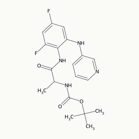 CC(NC(=O)OC(C)(C)C)C(=O)Nc1c(F)cc(F)cc1Nc1cccnc1